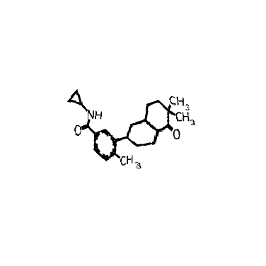 Cc1ccc(C(=O)NC2CC2)cc1C1CCC2C(=O)C(C)(C)CCC2C1